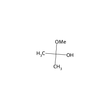 COC(C)(C)O